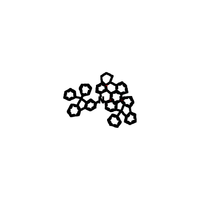 c1ccc(C2(c3ccc(N(c4ccc5c(c4)C(c4ccccc4)(c4ccccc4)c4ccccc4-5)c4ccccc4-c4cccc5cccc(C6CCCCC6)c45)cc3)c3ccccc3-c3ccccc32)cc1